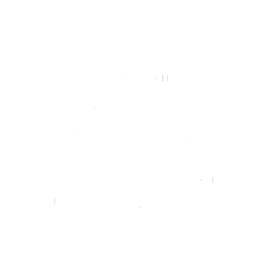 CC1=CCCC(=O)C(C)CCC(C)=CCC1